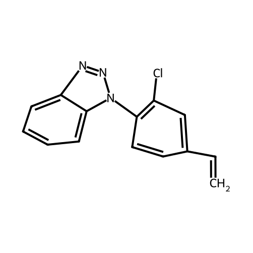 C=Cc1ccc(-n2nnc3ccccc32)c(Cl)c1